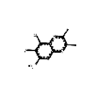 Cc1nc2cc(C(=O)O)c(N)c(Cl)c2nc1C